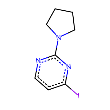 Ic1ccnc(N2CCCC2)n1